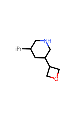 CC(C)C1CNCC(C2COC2)C1